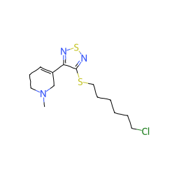 CN1CCC=C(c2nsnc2SCCCCCCCl)C1